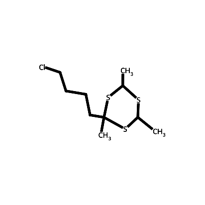 CC1SC(C)SC(C)(CCCCCl)S1